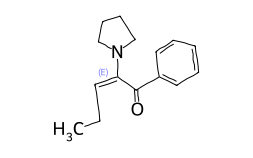 CC/C=C(\C(=O)c1ccccc1)N1CCCC1